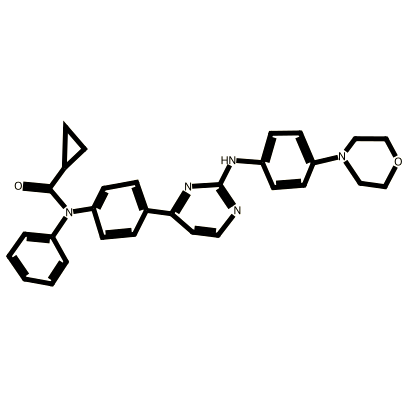 O=C(C1CC1)N(c1ccccc1)c1ccc(-c2ccnc(Nc3ccc(N4CCOCC4)cc3)n2)cc1